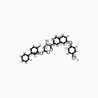 COC(=O)[C@H](Cc1ccc(-c2ccccc2)cc1)NC(=O)c1cc2cc(Oc3ccc(C(F)(F)F)cc3)ccc2cn1